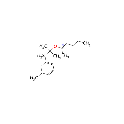 CCC/C=C(\C)OC(C)(C)[SiH2]C1=CC=CC(C)C1